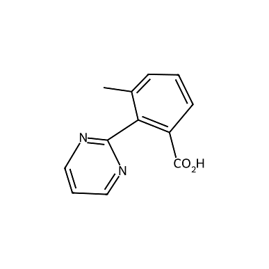 Cc1cccc(C(=O)O)c1-c1ncccn1